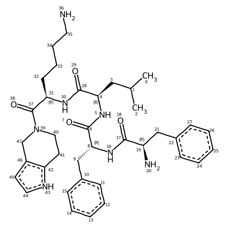 CC(C)C[C@@H](NC(=O)[C@@H](Cc1ccccc1)NC(=O)[C@H](N)Cc1ccccc1)C(=O)N[C@H](CCCCN)C(=O)N1CCc2[nH]ccc2C1